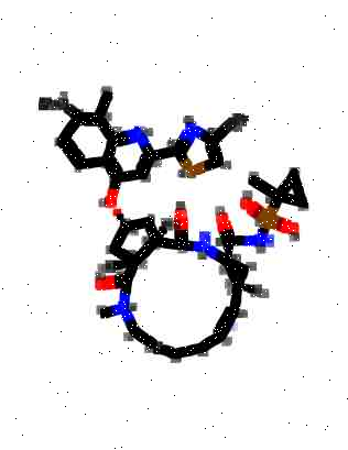 COc1ccc2c(O[C@@H]3C[C@H]4C(=O)N[C@]5(C(=O)NS(=O)(=O)C6(C)CC6)C[C@H]5/C=C\CCCCN(C)C(=O)[C@@H]4C3)cc(-c3nc(C(C)C)cs3)nc2c1C